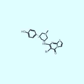 CN1C[C@H](Nc2nc3sccn3c(=O)c2Br)C[C@H](c2ccc(O)cc2)C1